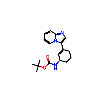 CC(C)(C)OC(=O)N[C@H]1C=C(c2cnc3ccccn23)CCC1